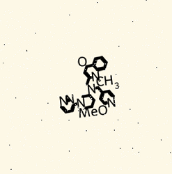 COc1cc(CN(Cc2cc(=O)c3ccccc3n2C)C2CCCN(c3cccnn3)C2)ccn1